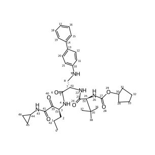 CCC[C@H](NC(=O)[C@H](CNc1ccc(-c2ccccc2)cc1)NC(=O)[C@@H](NC(=O)OC1CCCC1)C(C)(C)C)C(=O)C(=O)NC1CC1